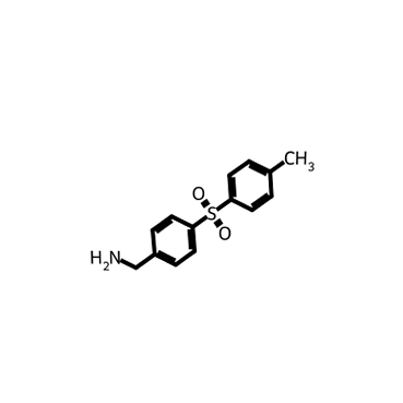 Cc1ccc(S(=O)(=O)c2ccc(CN)cc2)cc1